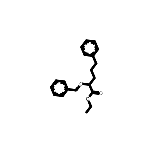 CCOC(=O)C(CCCc1ccccc1)OCc1ccccc1